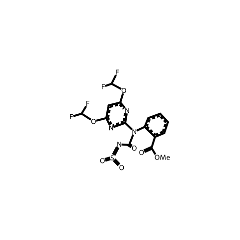 COC(=O)c1ccccc1N(C(=O)N=S(=O)=O)c1nc(OC(F)F)cc(OC(F)F)n1